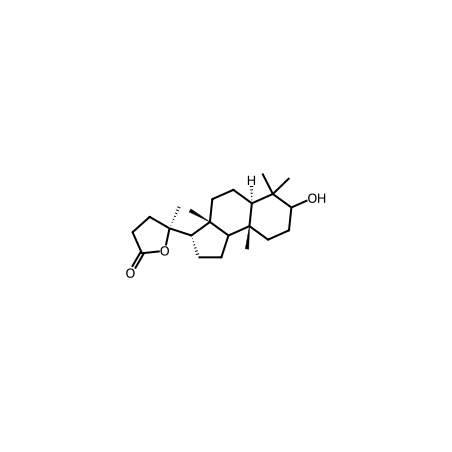 CC1(C)C(O)CC[C@]2(C)C3CC[C@H]([C@]4(C)CCC(=O)O4)[C@]3(C)CC[C@@H]12